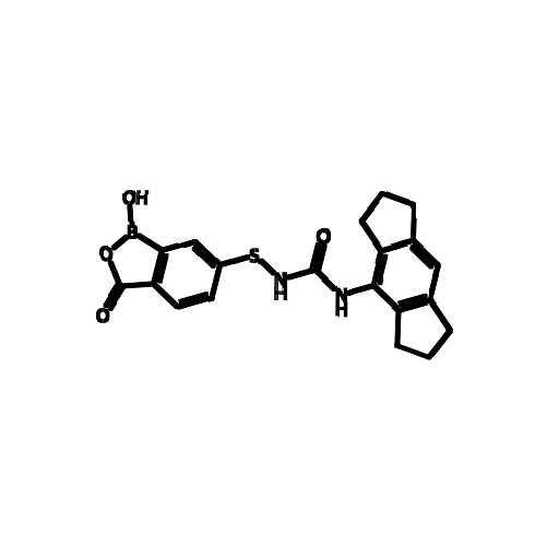 O=C(NSc1ccc2c(c1)B(O)OC2=O)Nc1c2c(cc3c1CCC3)CCC2